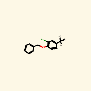 [2H]C([2H])([2H])c1ccc(OCc2ccccc2)c(Br)c1